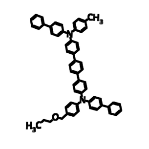 CCCOCc1ccc(N(c2ccc(-c3ccccc3)cc2)c2ccc(-c3ccc(-c4ccc(N(c5ccc(C)cc5)c5ccc(-c6ccccc6)cc5)cc4)cc3)cc2)cc1